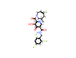 O=C(NCc1c(F)cc(F)cc1F)c1cn2c(c(O)c1=O)C(=O)N1CC=C(F)C[C@H]2C1